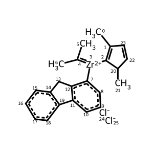 CC1=[C]([Zr+2](=[C](C)C)[c]2cccc3c2Cc2ccccc2-3)C(C)C=C1.[Cl-].[Cl-]